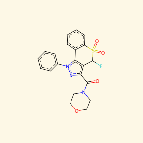 O=C(c1nn(-c2ccccc2)c2c1C(F)S(=O)(=O)c1ccccc1-2)N1CCOCC1